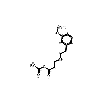 CCCCCOc1cccc(CCNCCC(=O)OC(=O)C(F)(F)F)c1